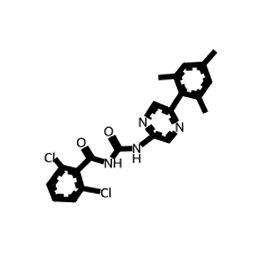 Cc1cc(C)c(-c2cnc(NC(=O)NC(=O)c3c(Cl)cccc3Cl)cn2)c(C)c1